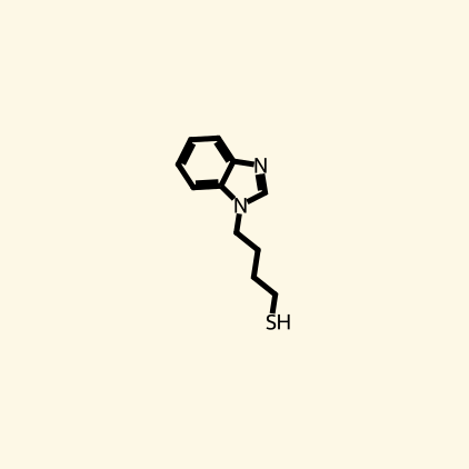 SCCCCn1cnc2ccccc21